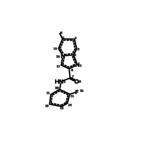 Cc1ccc2nc(C(=O)Nc3ccccc3F)cn2c1